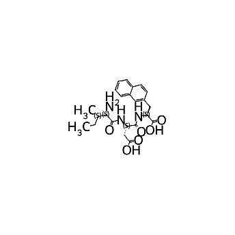 CC[C@H](C)[C@H](N)C(=O)N[C@@H](CC(=O)O)C(=O)N[C@@H](Cc1ccc2ccccc2c1)C(=O)O